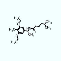 CCOc1cc([C@@H](C)NC(=O)CCCC(C)C)cc(OCC)c1C